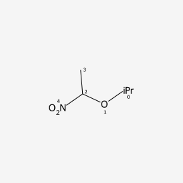 CC(C)OC(C)[N+](=O)[O-]